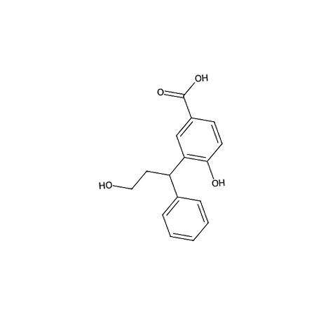 O=C(O)c1ccc(O)c(C(CCO)c2ccccc2)c1